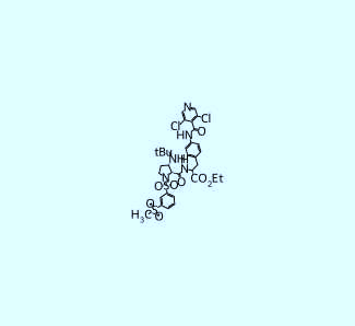 CCOC(=O)[C@H](Cc1ccc(NC(=O)c2c(Cl)cncc2Cl)cc1)NC(=O)[C@@H]1[C@@H](NC(C)(C)C)CCN1S(=O)(=O)c1cccc(S(C)(=O)=O)c1